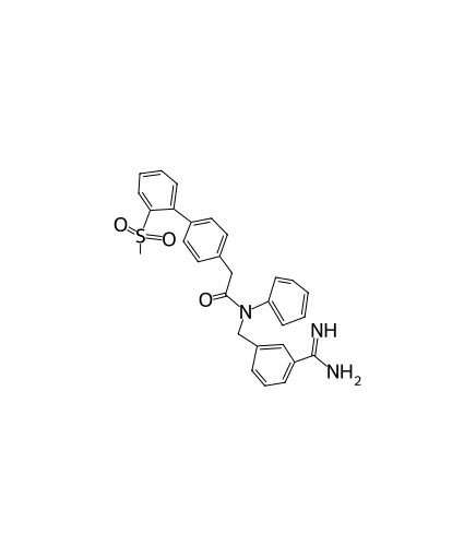 CS(=O)(=O)c1ccccc1-c1ccc(CC(=O)N(Cc2cccc(C(=N)N)c2)c2ccccc2)cc1